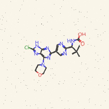 CC(C)(C)C(NC(=O)O)c1ncc(-c2nc(N3CCOCC3)c3nc(Cl)[nH]c3n2)cn1